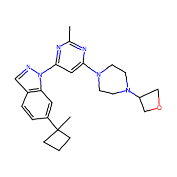 Cc1nc(N2CCN(C3COC3)CC2)cc(-n2ncc3ccc(C4(C)CCC4)cc32)n1